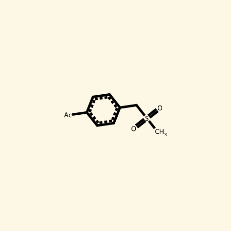 CC(=O)c1ccc(CS(C)(=O)=O)cc1